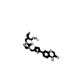 NC/C(=C\F)Cn1ncn(Cc2ccc(-c3ccc4c(c3)OCC(=O)N4)s2)c1=O